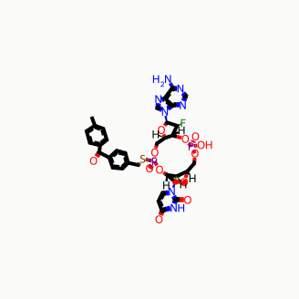 Cc1ccc(C(=O)c2ccc(CSP3(=O)OC[C@H]4O[C@@H](n5cnc6c(N)ncnc65)[C@H](F)[C@@H]4OP(=O)(O)OC[C@H]4O[C@@H](n5ccc(=O)[nH]c5=O)[C@H](O3)[C@@H]4F)cc2)cc1